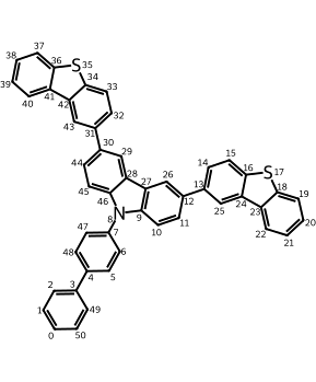 c1ccc(-c2ccc(-n3c4ccc(-c5ccc6sc7ccccc7c6c5)cc4c4cc(-c5ccc6sc7ccccc7c6c5)ccc43)cc2)cc1